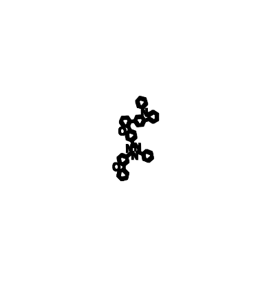 c1ccc(-c2nc(-c3ccc4c(c3)oc3cccc(-c5ccc6c7ccccc7n(-c7ccccc7)c6c5)c34)nc(-c3ccc4oc5ccccc5c4c3)n2)cc1